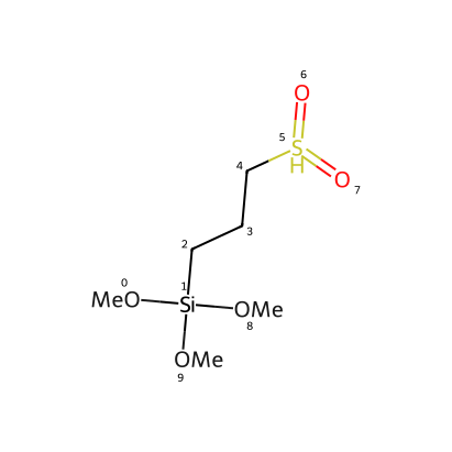 CO[Si](CCC[SH](=O)=O)(OC)OC